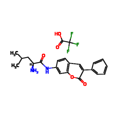 CC(C)C[C@H](N)C(=O)Nc1ccc2cc(-c3ccccc3)c(=O)oc2c1.O=C(O)C(F)(F)F